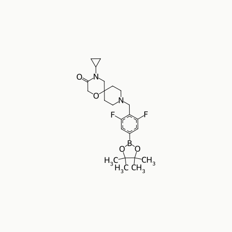 CC1(C)OB(c2cc(F)c(CN3CCC4(CC3)CN(C3CC3)C(=O)CO4)c(F)c2)OC1(C)C